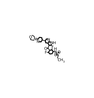 CCCS(=O)(=O)Nc1ccc(F)c(C(=O)c2c[nH]c3ncc(-c4ccc(N5CCOCC5)nc4)cc23)c1F